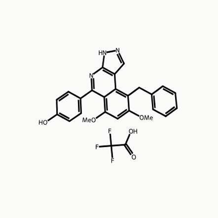 COc1cc(OC)c2c(-c3ccc(O)cc3)nc3[nH]ncc3c2c1Cc1ccccc1.O=C(O)C(F)(F)F